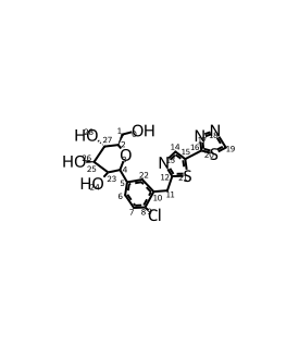 OC[C@H]1OC(c2ccc(Cl)c(Cc3ncc(-c4nncs4)s3)c2)C(O)[C@@H](O)[C@@H]1O